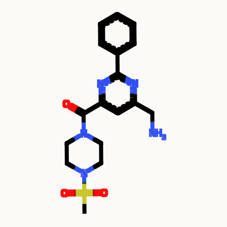 CS(=O)(=O)N1CCN(C(=O)c2cc(CN)nc(-c3ccccc3)n2)CC1